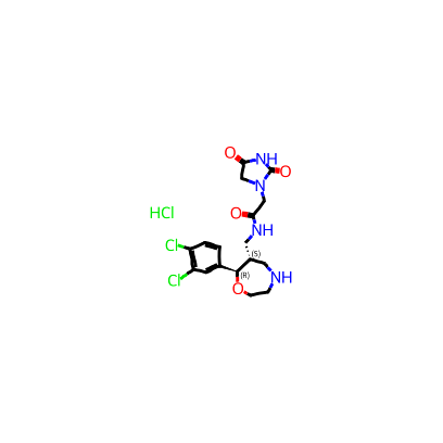 Cl.O=C(CN1CC(=O)NC1=O)NC[C@@H]1CNCCO[C@H]1c1ccc(Cl)c(Cl)c1